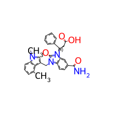 Cc1cccc2c1c(Cn1c(=O)n([C@H](CC(=O)O)c3ccccc3)c3cc(C(N)=O)ccc31)cn2C